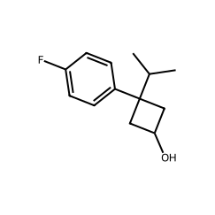 CC(C)C1(c2ccc(F)cc2)CC(O)C1